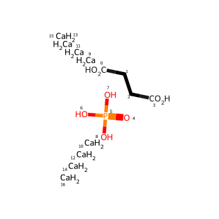 O=C(O)CCC(=O)O.O=P(O)(O)O.[CaH2].[CaH2].[CaH2].[CaH2].[CaH2].[CaH2].[CaH2].[CaH2]